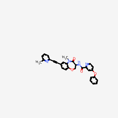 Cc1cccc(C#Cc2ccc3c(c2)N(C)C(=O)C(NC(=O)c2cc(Oc4ccccc4)ccn2)CO3)n1